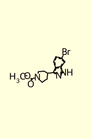 COC(=O)N1CCC(c2n[nH]c3cc(Br)ccc23)CC1